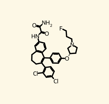 NC(=O)C(=O)Nc1ccc2c(c1)CCCC(c1ccc(Cl)cc1Cl)=C2c1ccc(O[C@H]2CCN(CCCF)C2)cc1